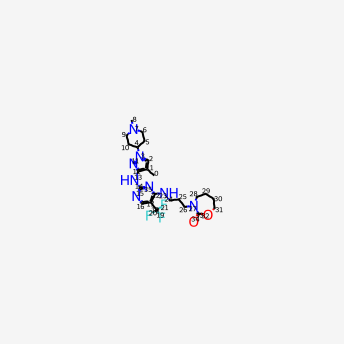 Cc1cn(C2CCN(C)CC2)nc1Nc1ncc(C(F)(F)F)c(NCCCN2CCCCOC2=O)n1